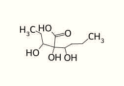 CCCC(O)C(O)(C(=O)O)C(O)CC